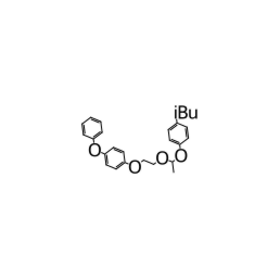 CCC(C)c1ccc(OC(C)OCCOc2ccc(Oc3ccccc3)cc2)cc1